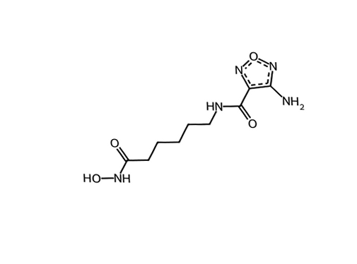 Nc1nonc1C(=O)NCCCCCC(=O)NO